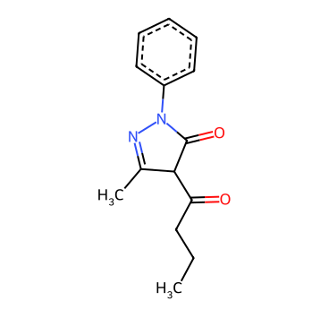 CCCC(=O)C1C(=O)N(c2ccccc2)N=C1C